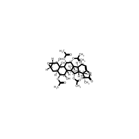 CC(=O)O[C@@H]1[C@H]2[C@H]3C([C@H](OC(C)=O)[C@H](OC(C)=O)[C@]2(C)[C@@H]2[C@@H]1[C@]1(C)C(=C[C@H]2C)OC(=O)[C@@]1(C)O)[C@]1(C)[C@H](C[C@@H]2O[C@@H]2[C@@H]1O)[C@H](OC(C)=O)[C@@H]3O